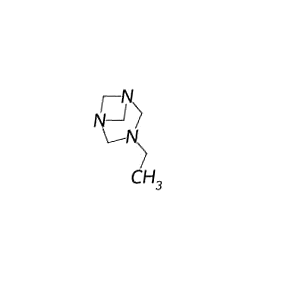 CCN1CN2CN(C1)C2